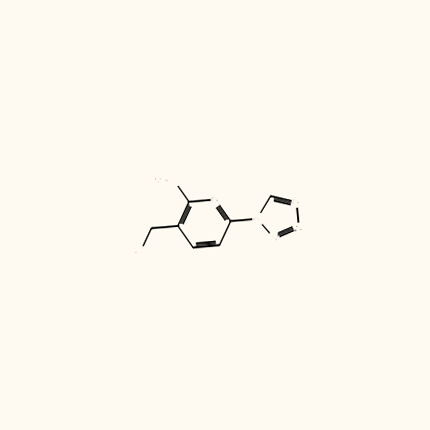 COc1nc(-n2cnnn2)ccc1CO